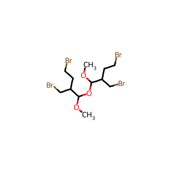 COC(OC(OC)C(CBr)CCBr)C(CBr)CCBr